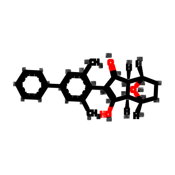 Cc1cc(-c2ccccc2)cc(C)c1C1=C(O)[C@H]2[C@@H](C1=O)[C@@H]1CC[C@H]2O1